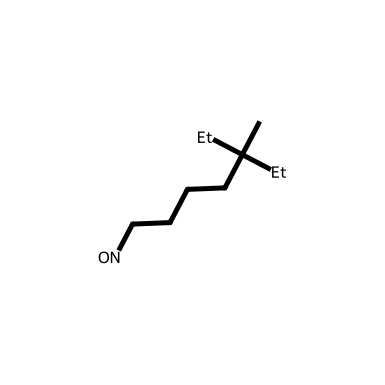 CCC(C)(CC)CCCCN=O